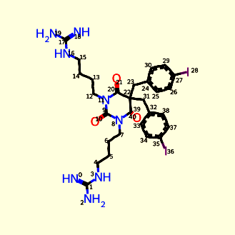 N=C(N)NCCCCN1C(=O)N(CCCCNC(=N)N)C(=O)C(Cc2ccc(I)cc2)(Cc2ccc(I)cc2)C1=O